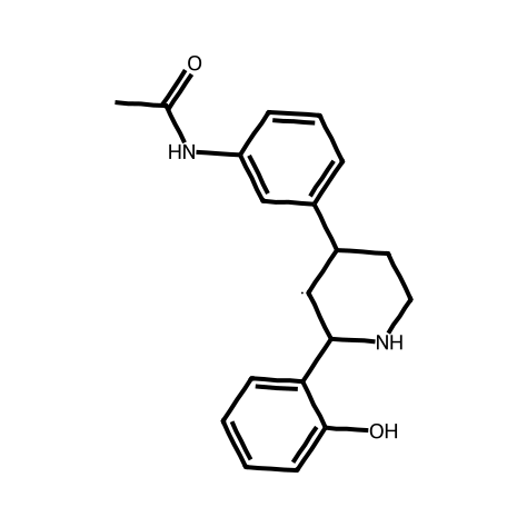 CC(=O)Nc1cccc(C2[CH]C(c3ccccc3O)NCC2)c1